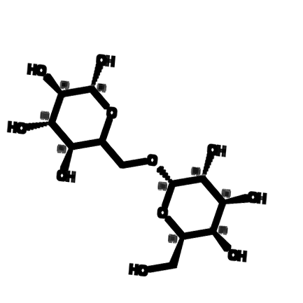 OC[C@H]1O[C@H](OCC2O[C@@H](O)[C@H](O)[C@@H](O)[C@@H]2O)[C@H](O)[C@@H](O)[C@H]1O